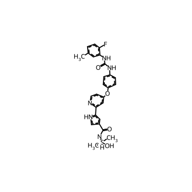 Cc1ccc(F)c(NC(=O)Nc2ccc(Oc3ccnc(-c4cc(C(=O)N=[SH](C)(C)O)c[nH]4)c3)cc2)c1